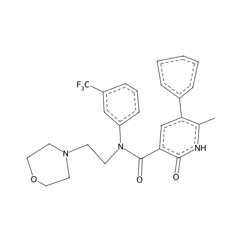 Cc1[nH]c(=O)c(C(=O)N(CCN2CCOCC2)c2cccc(C(F)(F)F)c2)cc1-c1ccccc1